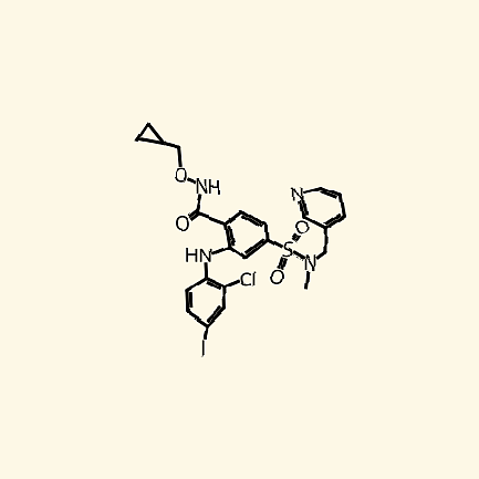 CN(Cc1cccnc1)S(=O)(=O)c1ccc(C(=O)NOCC2CC2)c(Nc2ccc(I)cc2Cl)c1